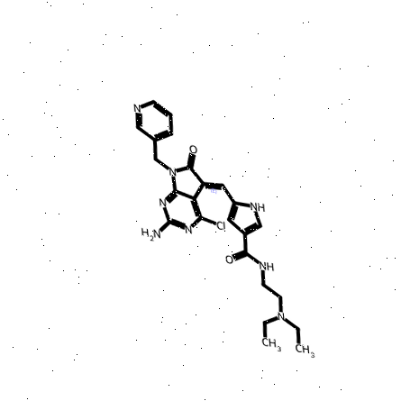 CCN(CC)CCNC(=O)c1c[nH]c(/C=C2/C(=O)N(Cc3cccnc3)c3nc(N)nc(Cl)c32)c1